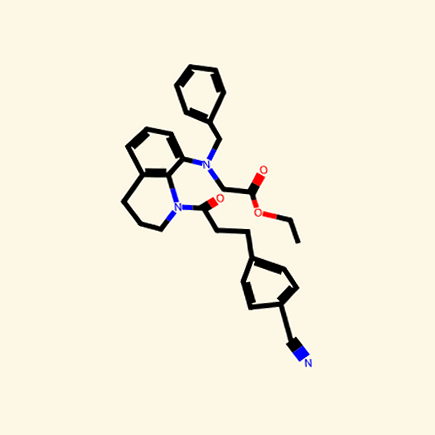 CCOC(=O)CN(Cc1ccccc1)c1cccc2c1N(C(=O)CCc1ccc(C#N)cc1)CCC2